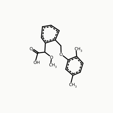 COC(C(=O)O)c1ccccc1COc1cc(C)ccc1C